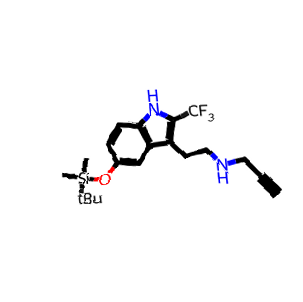 C#CCNCCc1c(C(F)(F)F)[nH]c2ccc(O[Si](C)(C)C(C)(C)C)cc12